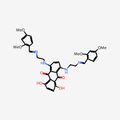 COc1ccc(C=NCCNc2ccc(NCCN=Cc3ccc(OC)cc3OC)c3c2C(=O)c2c(O)ccc(O)c2C3=O)c(OC)c1